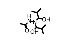 CC(=O)NN(C(O)C(C)C)C(O)C(C)C